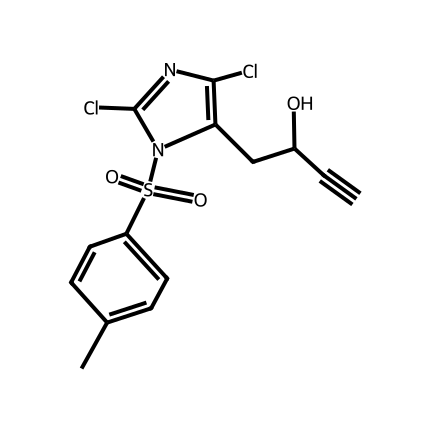 C#CC(O)Cc1c(Cl)nc(Cl)n1S(=O)(=O)c1ccc(C)cc1